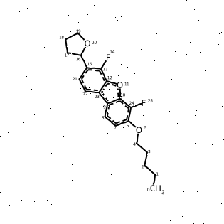 CCCCCOc1ccc2c(oc3c(F)c(C4CCCO4)ccc32)c1F